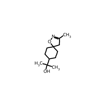 CC1=NOC2(CCC(C(C)(C)O)CC2)C1